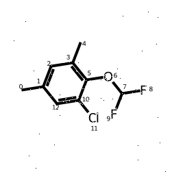 Cc1cc(C)c(OC(F)F)c(Cl)c1